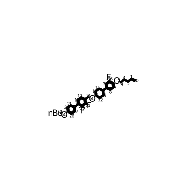 C=CCCCOc1ccc(C2CCC(OCc3ccc(-c4ccc(OCCCC)cc4)c(F)c3F)CC2)cc1F